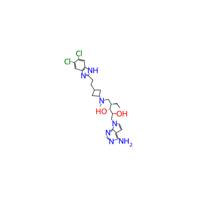 CC[C@H](CN(C)C1CC(CCc2nc3cc(Cl)c(Cl)cc3[nH]2)C1)[C@@H](O)[C@@H](O)Cn1ccc2c(N)ncnc21